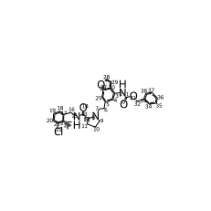 O=C(Nc1cc(CCN2CCC[C@H]2C(=O)NCc2cccc(Cl)c2F)cc2occc12)OCc1ccccc1